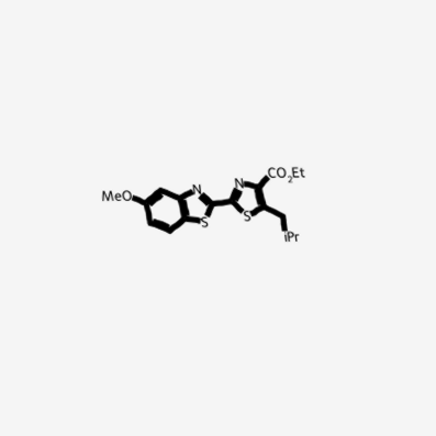 CCOC(=O)c1nc(-c2nc3cc(OC)ccc3s2)sc1CC(C)C